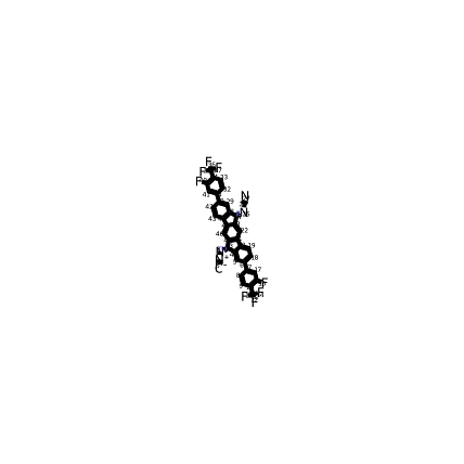 [C-]#[N+]/N=c1\c2cc(-c3ccc(C(F)(F)F)c(F)c3)ccc2c2cc3/c(=N/C#N)c4cc(-c5ccc(C(F)(F)F)c(F)c5)ccc4c3cc12